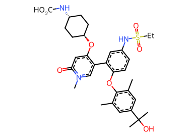 CCS(=O)(=O)Nc1ccc(Oc2c(C)cc(C(C)(C)O)cc2C)c(-c2cn(C)c(=O)cc2O[C@H]2CC[C@H](NC(=O)O)CC2)c1